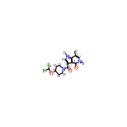 Cc1cn(C)c(=O)c2c(C(=O)N3CCC(OC(F)F)CC3)cn(C)c12